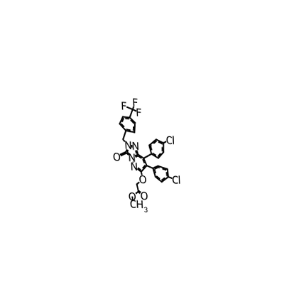 COC(=O)COc1nn2c(=O)n(Cc3ccc(C(F)(F)F)cc3)nc2c(-c2ccc(Cl)cc2)c1-c1ccc(Cl)cc1